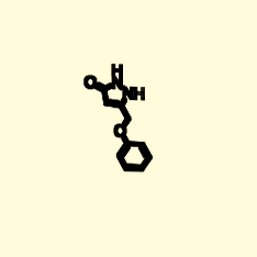 O=c1cc(COc2ccccc2)[nH][nH]1